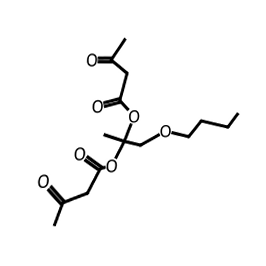 CCCCOCC(C)(OC(=O)CC(C)=O)OC(=O)CC(C)=O